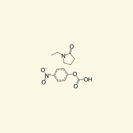 CCN1CCCC1=O.O=C(O)Oc1ccc([N+](=O)[O-])cc1